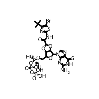 CC(C)(C)c1nc(NC(=O)C2OC3C(COP(=O)(O)OP(=O)(O)OP(=O)(O)O)OC(n4cnc5c(=S)[nH]c(N)nc54)C3O2)sc1Br